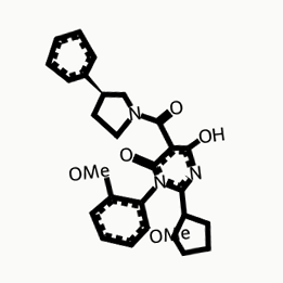 COc1cccc(OC)c1-n1c(C2CCCC2)nc(O)c(C(=O)N2CC[C@@H](c3ccccc3)C2)c1=O